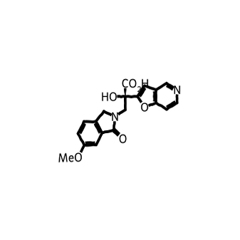 COc1ccc2c(c1)C(=O)N(C[C@@](O)(C(=O)O)c1cc3cnccc3o1)C2